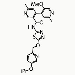 COc1cnc(C)cc1-c1cc(C)ncc1C(=O)Nc1nnc(OCc2ccc(OC(C)C)cn2)s1